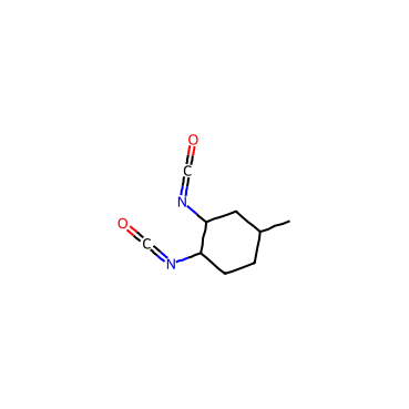 CC1CCC(N=C=O)C(N=C=O)C1